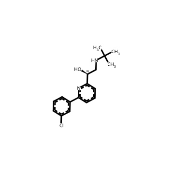 CC(C)(C)NC[C@H](O)c1cccc(-c2cccc(Cl)c2)n1